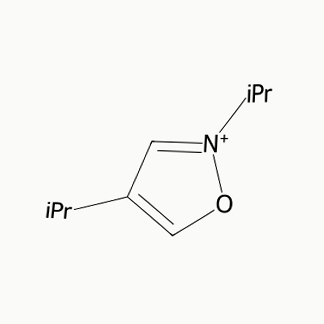 CC(C)c1co[n+](C(C)C)c1